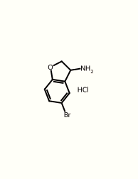 Cl.NC1COc2ccc(Br)cc21